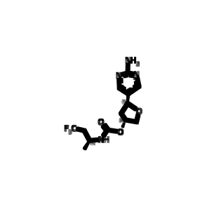 C[C@@H](CC(F)(F)F)NC(=O)O[C@H]1CO[C@H](c2cnc(N)nc2)C1